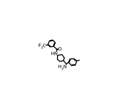 Cc1ccc(C(N)C2CCC(NC(=O)c3cccc(C(F)(F)F)c3)CC2)cc1